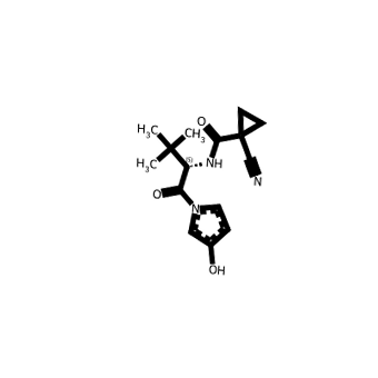 CC(C)(C)[C@H](NC(=O)C1(C#N)CC1)C(=O)n1ccc(O)c1